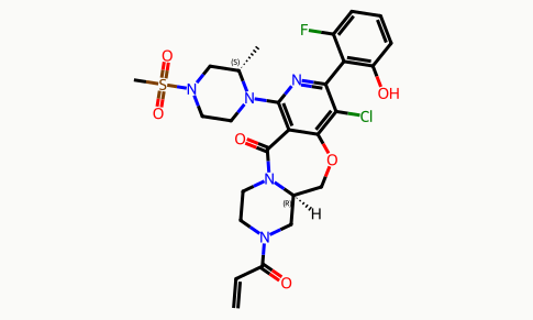 C=CC(=O)N1CCN2C(=O)c3c(N4CCN(S(C)(=O)=O)C[C@@H]4C)nc(-c4c(O)cccc4F)c(Cl)c3OC[C@H]2C1